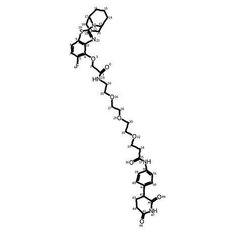 O=C(COc1c(F)ccc2sc(N3C4CCCC3COC4)nc12)NCCOCCOCCOCCC(=O)Nc1ccc(C2CCC(=O)NC2=O)cc1